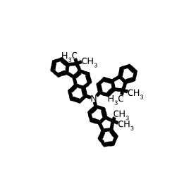 CC1(C)c2ccccc2-c2ccc(N(c3ccc4c(c3)C(C)(C)c3ccccc3-4)c3cccc4c5c(ccc34)C(C)(C)c3ccccc3-5)cc21